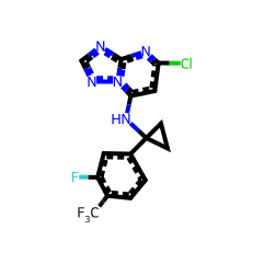 Fc1cc(C2(Nc3cc(Cl)nc4ncnn34)CC2)ccc1C(F)(F)F